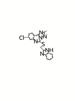 Cc1nc2c3ccc(Cl)cc3nc(SCc3nc4ccccc4[nH]3)n2n1